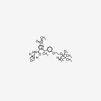 CNC(=O)c1cc(C(=O)NC2[C@H]3COC[C@@H]23)n(C(C)c2cccc(OCCO[Si](C)(C)C(C)(C)C)c2)n1